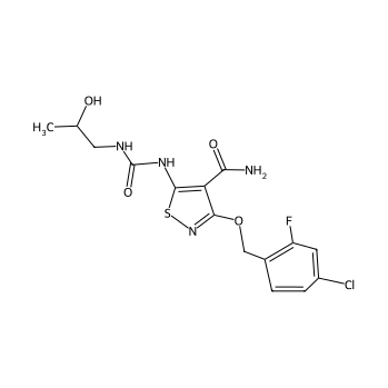 CC(O)CNC(=O)Nc1snc(OCc2ccc(Cl)cc2F)c1C(N)=O